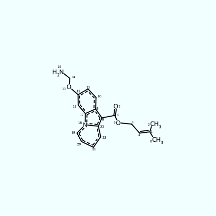 CC(C)=CCOC(=O)c1c2ccc(OCN)cc2n2ccccc12